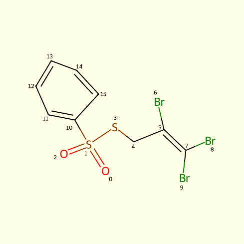 O=S(=O)(SCC(Br)=C(Br)Br)c1ccccc1